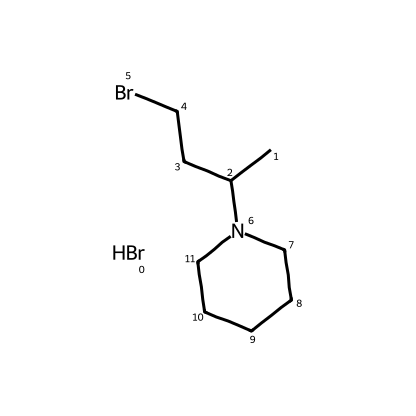 Br.CC(CCBr)N1CCCCC1